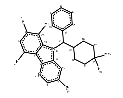 Fc1cc(F)c2c3ncc(Br)cc3n(C(c3ccccc3)C3CCC(F)(F)CC3)c2c1F